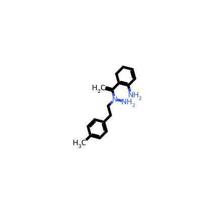 C=C(C1=C(N)C=CCC1)N(N)CCc1ccc(C)cc1